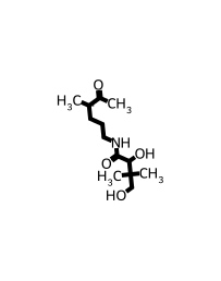 C[C](CCCNC(=O)C(O)C(C)(C)CO)C(C)=O